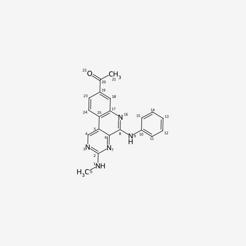 CNc1ncc2c(n1)c(Nc1ccccc1)nc1cc(C(C)=O)ccc12